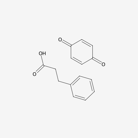 O=C(O)CCc1ccccc1.O=C1C=CC(=O)C=C1